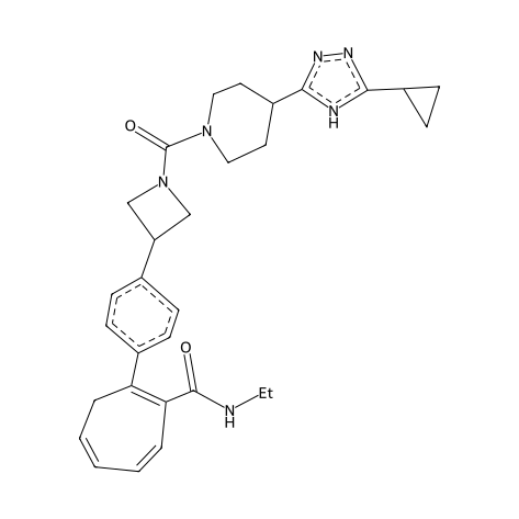 CCNC(=O)C1=C(c2ccc(C3CN(C(=O)N4CCC(c5nnc(C6CC6)[nH]5)CC4)C3)cc2)CC=CC=C1